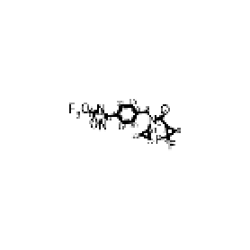 O=C(C1CC1(F)F)N(Cc1ccc(-c2noc(C(F)(F)F)n2)cc1)C1CC1